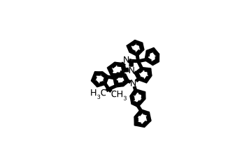 CC1(C)c2ccccc2-c2ccc(N(c3ccc(-c4ccccc4)cc3)c3cccc4c3-n3c(nc5ccccc53)C4(c3ccccc3)c3ccccc3)cc21